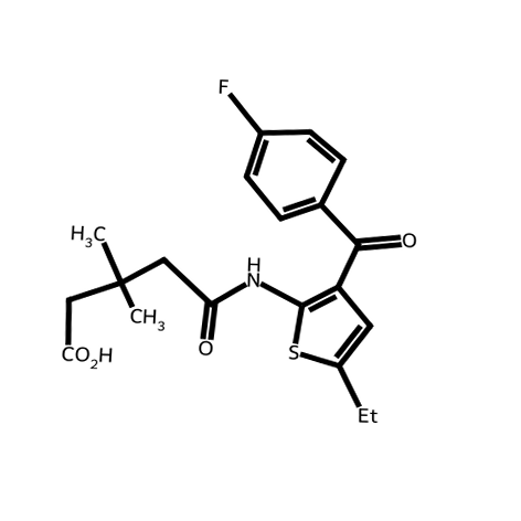 CCc1cc(C(=O)c2ccc(F)cc2)c(NC(=O)CC(C)(C)CC(=O)O)s1